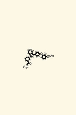 C=CC(=O)N1CCC[C@@H](c2nc(-c3ccc(Oc4cccc(OC)c4F)cc3)c3cnccn23)C1